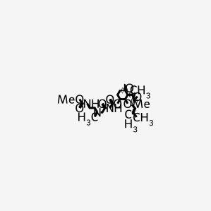 COC(=O)NCCN(C)CC(=O)NC(=O)OC1CC[C@]2(CO2)C([C@@]2(C)O[C@@H]2CC=C(C)C)C1OC